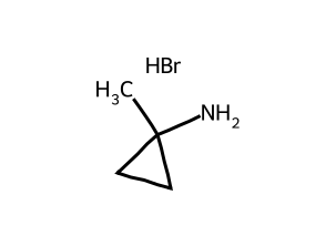 Br.CC1(N)CC1